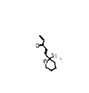 C=CC(=O)C=CC1([SiH3])CCCCO1